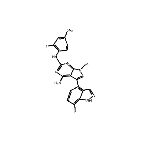 CSc1ccc(Nc2nc(N)c3c(-c4ccc(F)c5[nH]ncc45)nn(C(C)C)c3n2)c(F)c1